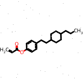 C=CC(=O)Oc1ccc(CCC2CCC(CCC)CC2)cc1